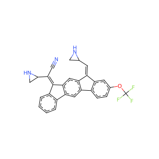 N#C/C(=C1/c2ccccc2-c2cc3c(cc21)/C(=C\C1CN1)c1cc(OC(F)(F)F)ccc1-3)C1CN1